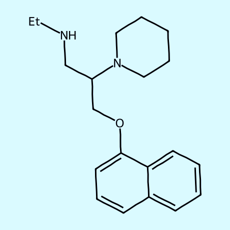 CCNCC(COc1cccc2ccccc12)N1CCCCC1